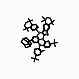 Cc1cc(C(C)(C)C)ccc1N1c2ccc(C(C)(C)C)cc2B2c3sc4cc5c(cc4c3N(c3ccc4c(c3)C(C)(C)CCC4(C)C)c3cc(C46CC7CC(CC(C7)C4)C6)cc1c32)C(C)(C)CCC5(C)C